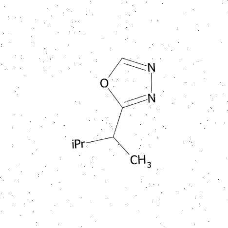 CC(C)C(C)c1nnco1